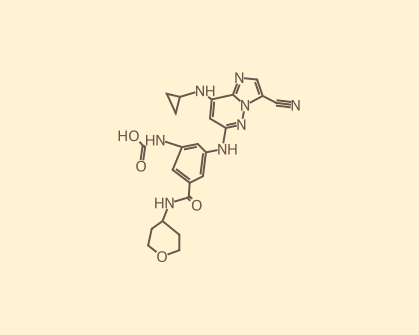 N#Cc1cnc2c(NC3CC3)cc(Nc3cc(NC(=O)O)cc(C(=O)NC4CCOCC4)c3)nn12